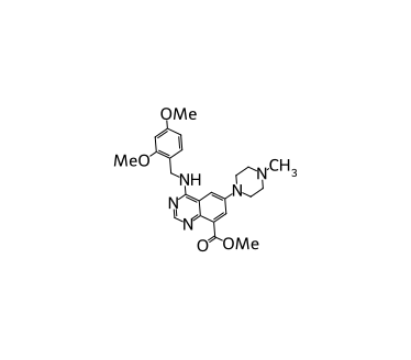 COC(=O)c1cc(N2CCN(C)CC2)cc2c(NCc3ccc(OC)cc3OC)ncnc12